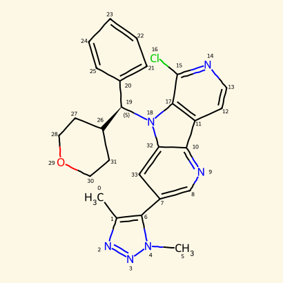 Cc1nnn(C)c1-c1cnc2c3ccnc(Cl)c3n([C@H](c3ccccc3)C3CCOCC3)c2c1